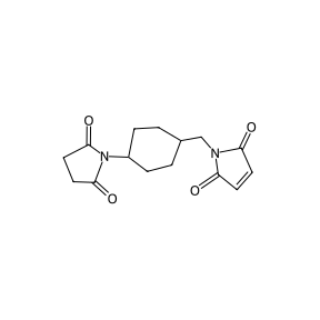 O=C1C=CC(=O)N1CC1CCC(N2C(=O)CCC2=O)CC1